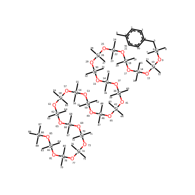 Cc1ccc(C[Si](C)(C)O[Si](C)(C)O[Si](C)(C)O[Si](C)(C)O[Si](C)(C)O[Si](C)(C)O[Si](C)(C)O[Si](C)(C)O[Si](C)(C)O[Si](C)(C)O[Si](C)(C)O[Si](C)(C)O[Si](C)(C)O[Si](C)(C)O[Si](C)(C)O[Si](C)(C)O[Si](C)(C)O[Si](C)(C)O[Si](C)(C)O[Si](C)(C)O[Si](C)(C)C)cc1